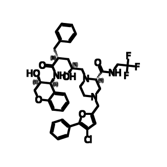 O=C(N[C@H]1c2ccccc2OC[C@H]1O)[C@H](Cc1ccccc1)C[C@H](O)CN1CCN(Cc2cc(Cl)c(-c3ccccc3)o2)C[C@H]1C(=O)NCC(F)(F)F